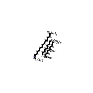 CCCCCCCC/C=C\CCCCCCCCCCCC(N)=O.CCCCCCCCCCCCCCCCCC(=O)[O-].CCCCCCCCCCCCCCCCCC(=O)[O-].[Zn+2]